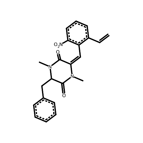 C=Cc1cccc([N+](=O)[O-])c1/C=C1\C(=O)N(C)C(Cc2ccccc2)C(=O)N1C